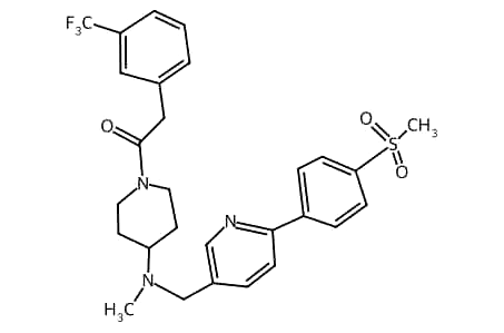 CN(Cc1ccc(-c2ccc(S(C)(=O)=O)cc2)nc1)C1CCN(C(=O)Cc2cccc(C(F)(F)F)c2)CC1